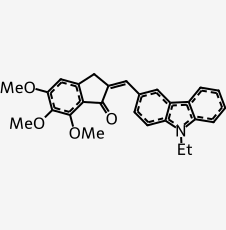 CCn1c2ccccc2c2cc(/C=C3/Cc4cc(OC)c(OC)c(OC)c4C3=O)ccc21